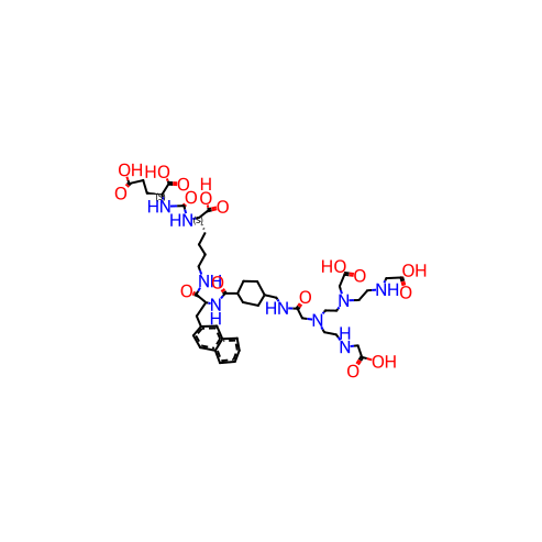 O=C(O)CC[C@H](NC(=O)N[C@@H](CCCCNC(=O)C(Cc1ccc2ccccc2c1)NC(=O)C1CCC(CNC(=O)CN(CCNCC(=O)O)CCN(CCNCC(=O)O)CC(=O)O)CC1)C(=O)O)C(=O)O